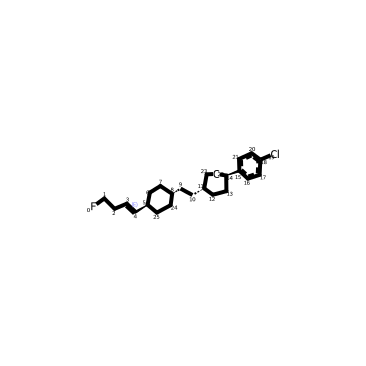 FCC/C=C/[C@H]1CC[C@H](CC[C@H]2CC[C@H](c3ccc(Cl)cc3)CC2)CC1